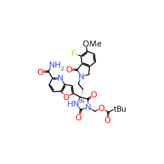 COc1ccc2c(c1F)C(=O)N(CC[C@@]1(c3cc4nc(C(N)=O)ccc4o3)NC(=O)N(COC(=O)C(C)(C)C)C1=O)C2